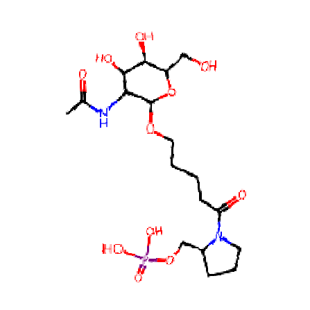 CC(=O)NC1C(O)[C@@H](O)C(CO)O[C@H]1OCCCCC(=O)N1CCC[C@H]1COP(=O)(O)O